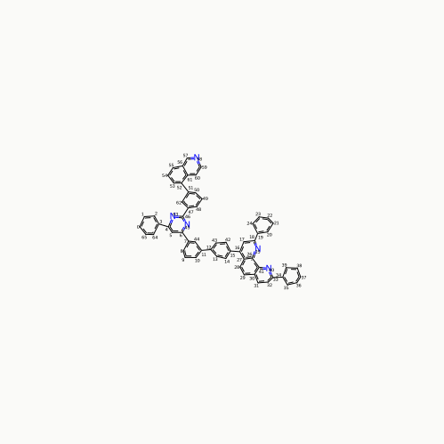 c1ccc(-c2cc(-c3cccc(-c4ccc(-c5cc(-c6ccccc6)nc6c5ccc5ccc(-c7ccccc7)nc56)cc4)c3)nc(-c3cccc(-c4cccc5cnccc45)c3)n2)cc1